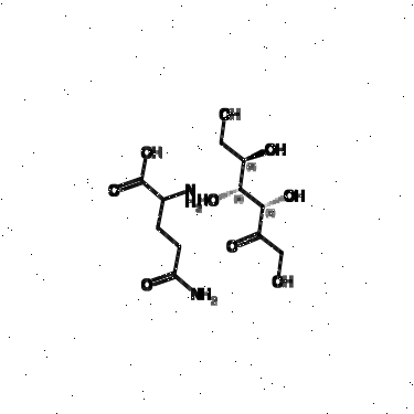 NC(=O)CCC(N)C(=O)O.O=C(CO)[C@@H](O)[C@H](O)[C@H](O)CO